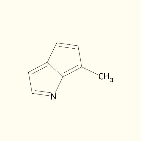 CC1=C2N=CC=C2C=C1